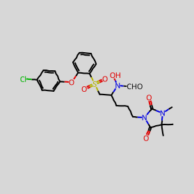 CN1C(=O)N(CCCC(CS(=O)(=O)c2ccccc2Oc2ccc(Cl)cc2)N(O)C=O)C(=O)C1(C)C